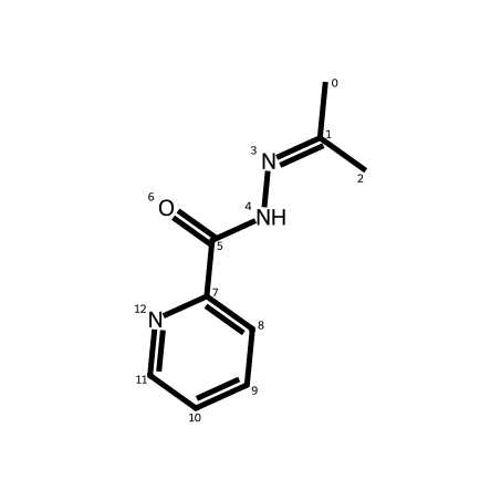 CC(C)=NNC(=O)c1ccccn1